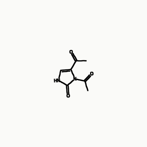 CC(=O)c1c[nH]c(=O)n1C(C)=O